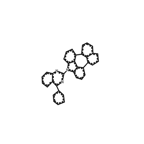 c1ccc(-c2nc(-n3c4cccc5c4c4c(cccc43)-c3cccc4cccc-5c34)nc3ccccc23)cc1